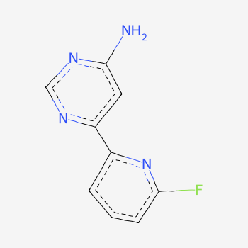 Nc1cc(-c2cccc(F)n2)ncn1